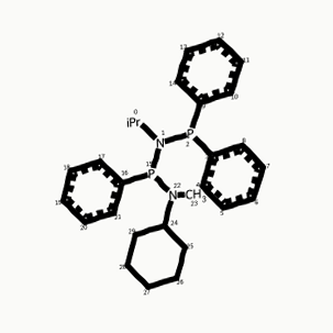 CC(C)N(P(c1ccccc1)c1ccccc1)P(c1ccccc1)N(C)C1CCCCC1